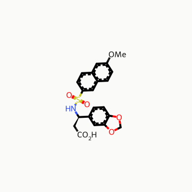 COc1ccc2cc(S(=O)(=O)N[C@H](CC(=O)O)c3ccc4c(c3)OCO4)ccc2c1